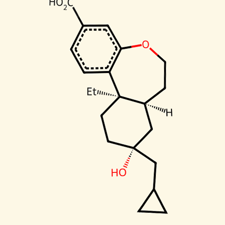 CC[C@@]12CC[C@](O)(CC3CC3)C[C@@H]1CCOc1cc(C(=O)O)ccc12